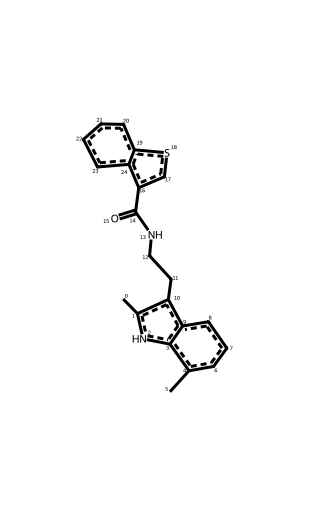 Cc1[nH]c2c(C)cccc2c1CCNC(=O)c1csc2ccccc12